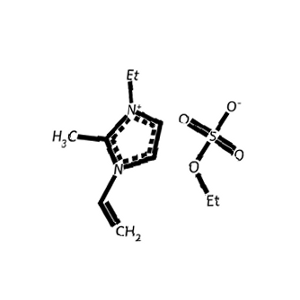 C=Cn1cc[n+](CC)c1C.CCOS(=O)(=O)[O-]